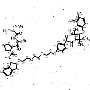 CN[C@@H](C)C(=O)N[C@H](C(=O)C1CCC[C@H]1C(=O)N[C@H]1c2ccccc2C[C@H]1OCCOCCOCCOc1ccc(C(=O)N[C@H]2C(C)(C)[C@H](Oc3ccc(C#N)c(Cl)c3)C2(C)C)cc1)C(C)(C)C